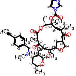 C#Cc1ccc(CN(C)[C@H]2C[C@@H](C)O[C@@H](O[C@@H]3[C@@H](C)C(=O)[C@@H](C)C(=O)O[C@H](I)[C@@](C)(OC(=O)n4ccnc4)/C=C(\C)C(=O)[C@@H]4CO[C@]3(C)C4)[C@H]2OC(C)=O)cc1